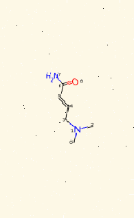 CN(C)CC=CC(N)=O